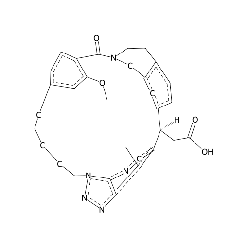 COc1cc2ccc1C(=O)N1CCc3ccc(cc3C1)[C@@H](CC(=O)O)c1cnc3c(nnn3CCCCC2)c1C